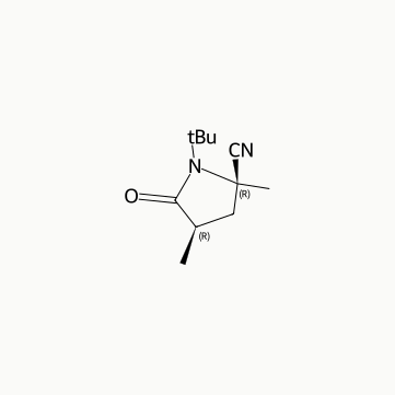 C[C@@H]1C[C@](C)(C#N)N(C(C)(C)C)C1=O